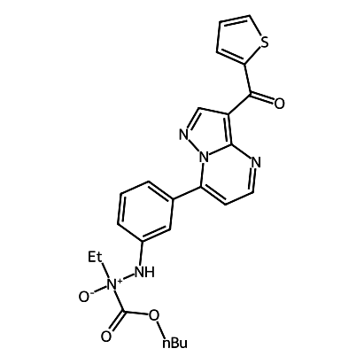 CCCCOC(=O)[N+]([O-])(CC)Nc1cccc(-c2ccnc3c(C(=O)c4cccs4)cnn23)c1